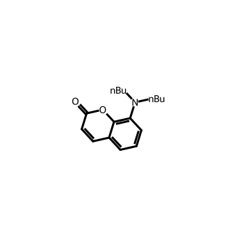 CCCCN(CCCC)c1cccc2ccc(=O)oc12